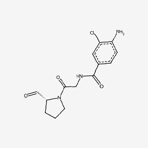 Nc1ccc(C(=O)NCC(=O)N2CCC[C@@H]2C=O)cc1Cl